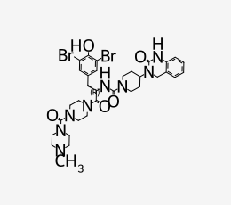 CN1CCN(C(=O)N2CCN(C(=O)[C@@H](Cc3cc(Br)c(O)c(Br)c3)NC(=O)N3CCC(N4Cc5ccccc5NC4=O)CC3)CC2)CC1